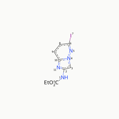 CCOC(=O)Nc1cn2nc(I)ccc2n1